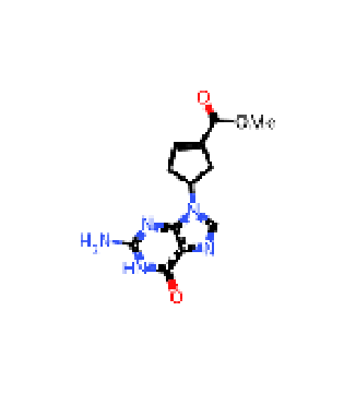 COC(=O)C1=CCC(n2cnc3c(=O)[nH]c(N)nc32)C1